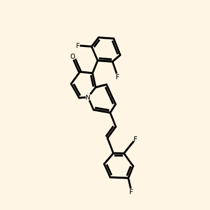 O=c1ccn2cc(C=Cc3ccc(F)cc3F)ccc2c1-c1c(F)cccc1F